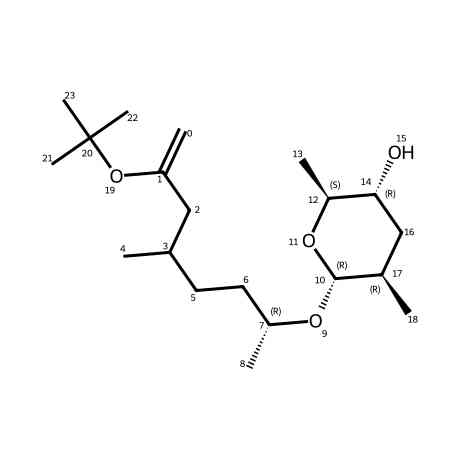 C=C(CC(C)CC[C@@H](C)O[C@@H]1O[C@@H](C)[C@H](O)C[C@H]1C)OC(C)(C)C